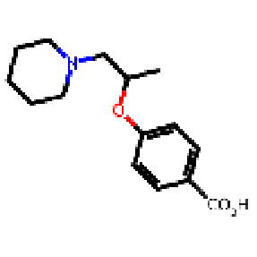 CC(CN1CCCCC1)Oc1ccc(C(=O)O)cc1